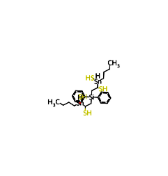 CCC[CH2][SnH]([SH])[CH](S)C[Si](C[CH](S)[SnH]([SH])[CH2]CCC)(c1ccccc1)c1ccccc1